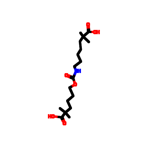 CC(C)(CCCCCNC(=O)OCCCCC(C)(C)C(=O)O)C(=O)O